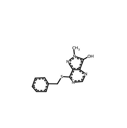 Cn1nc2c(SCc3ccccc3)ncnc2c1O